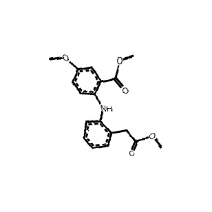 COC(=O)Cc1ccccc1Nc1ccc(OC)cc1C(=O)OC